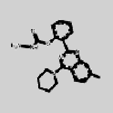 Cc1ccc2c(N3CCCCC3)nc(-c3ccccc3OC(=O)NN)nc2c1